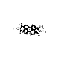 C=c1c2ccc3c4ccc5c6c(ccc(c7ccc(c(=O)n1C)c2c37)c64)C(=O)N(C)C5=O